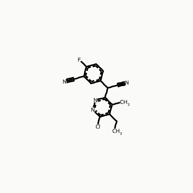 CCc1c(Cl)nnc(C(C#N)c2ccc(F)c(C#N)c2)c1C